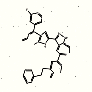 C=C/C=C(/c1cccc(F)c1)c1cc(-c2n[nH]c(=C/C)/c2=C\C(=C)C(/C=C(\C=C)CCc2ccccc2)=C/C)[nH]c1C